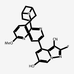 COc1ccc(CN2C3CC2CN(c2ccc(-c4cc(O)cn5nc(F)c(C#N)c45)cn2)C3)cn1